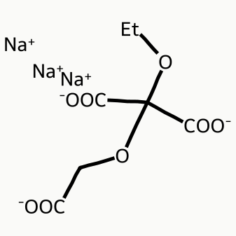 CCOC(OCC(=O)[O-])(C(=O)[O-])C(=O)[O-].[Na+].[Na+].[Na+]